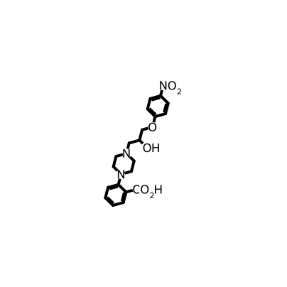 O=C(O)c1ccccc1N1CCN(CC(O)COc2ccc([N+](=O)[O-])cc2)CC1